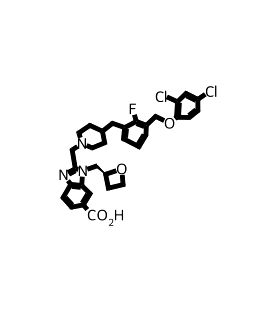 O=C(O)c1ccc2nc(CN3CCC(Cc4cccc(COc5ccc(Cl)cc5Cl)c4F)CC3)n(C[C@@H]3CCO3)c2c1